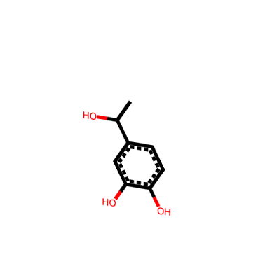 CC(O)c1ccc(O)c(O)c1